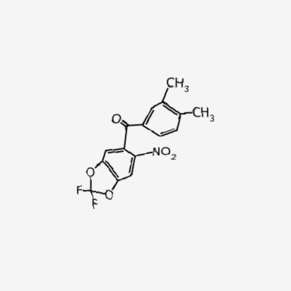 Cc1ccc(C(=O)c2cc3c(cc2[N+](=O)[O-])OC(F)(F)O3)cc1C